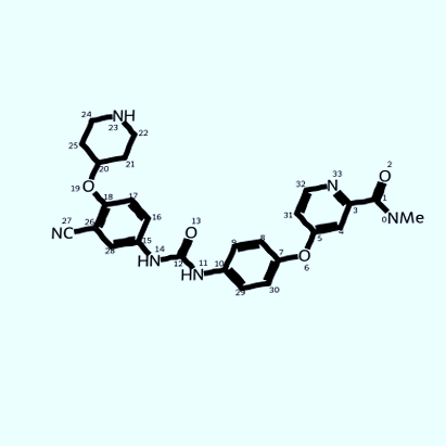 CNC(=O)c1cc(Oc2ccc(NC(=O)Nc3ccc(OC4CCNCC4)c(C#N)c3)cc2)ccn1